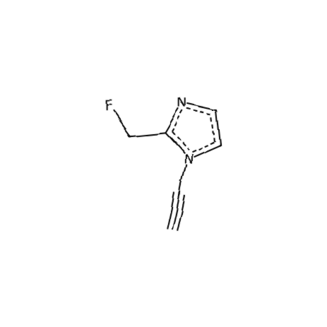 C#Cn1ccnc1CF